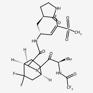 CC(C)(C)[C@@H](NC(=O)C(F)(F)F)C(=O)N1[C@H]2CC[C@@H]([C@H]1C(=O)N[C@@H](/C=C(\F)S(C)(=O)=O)C[C@H]1CCNC1=O)C(F)(F)C2